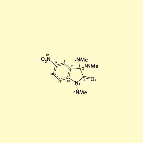 CNN1C(=O)C(NC)(NC)c2cc([N+](=O)[O-])ccc21